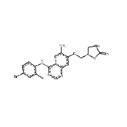 Nc1cc2c(Nc3ccc(Br)cc3F)ncnc2cc1OCC1CNC(=O)O1